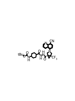 CC(C)(C)OC(=O)NC1CCC(C(=O)NNC(=O)[C@]23CN(c4ccc(C#N)c5ncccc45)C[C@@]2(C(F)(F)F)C3)CC1